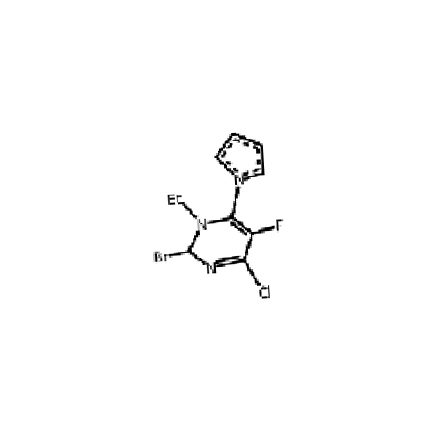 CCN1C(n2cccc2)=C(F)C(Cl)=NC1Br